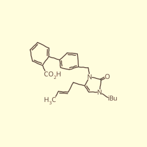 CC=CCc1cn(C(C)CC)c(=O)n1Cc1ccc(-c2ccccc2C(=O)O)cc1